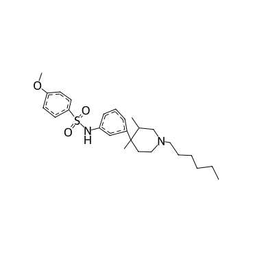 CCCCCCN1CCC(C)(c2cccc(NS(=O)(=O)c3ccc(OC)cc3)c2)C(C)C1